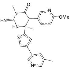 COc1ccc(C2C(=O)N(C)C(=N)N[C@]2(C)c2cc(-c3cncc(C)c3)cs2)cn1